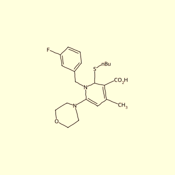 CCCCSC1C(C(=O)O)=C(C)C=C(N2CCOCC2)N1Cc1cccc(F)c1